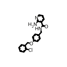 Nc1ncccc1C(=O)NCc1ccc(OCc2ccccc2Cl)cc1